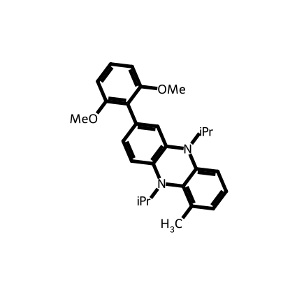 COc1cccc(OC)c1-c1ccc2c(c1)N(C(C)C)c1cccc(C)c1N2C(C)C